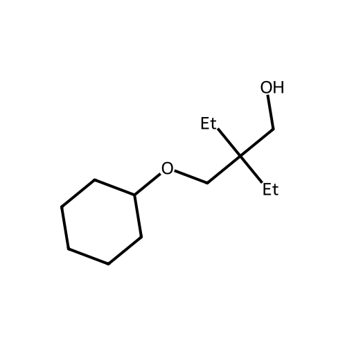 CCC(CC)(CO)COC1CCCCC1